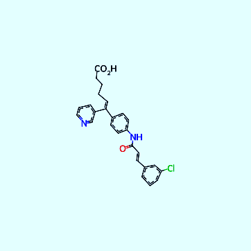 O=C(O)CCC/C=C(/c1ccc(NC(=O)/C=C/c2cccc(Cl)c2)cc1)c1cccnc1